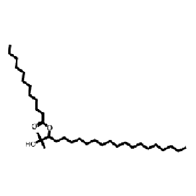 CCCCCCCCCCCCCCCCCCC(OC(=O)CCCCCCCCCCC)C(C)(C)O